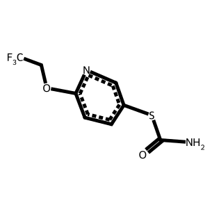 NC(=O)Sc1ccc(OCC(F)(F)F)nc1